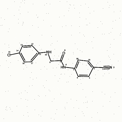 N#Cc1ccc(NC(=O)CNc2ccc(Cl)cc2)cc1